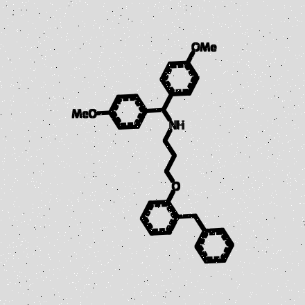 COc1ccc(C(NCCCOc2ccccc2Cc2ccccc2)c2ccc(OC)cc2)cc1